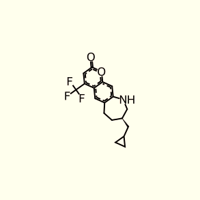 O=c1cc(C(F)(F)F)c2cc3c(cc2o1)NC[C@@H](CC1CC1)CC3